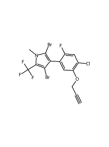 C#CCOc1cc(-c2c(Br)c(C(F)(F)F)n(C)c2Br)c(F)cc1Cl